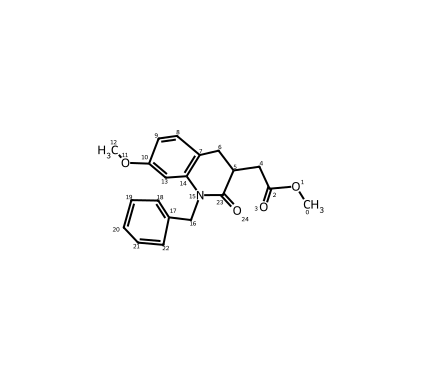 COC(=O)CC1Cc2ccc(OC)cc2N(Cc2ccccc2)C1=O